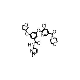 Cn1ccc(NC(=O)c2cc(Oc3ncc(C(=O)N4CCOCC4)cc3Cl)cc(OC3CCOC3)c2)n1